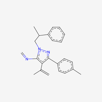 C=Nc1c(C(=C)C)c(-c2ccc(C)cc2)nn1CC(C)c1ccccc1